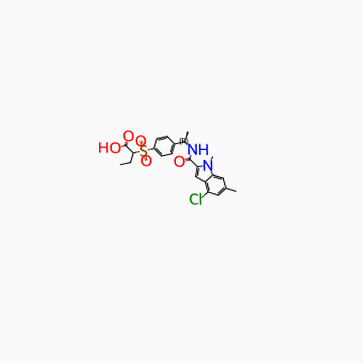 CCC(C(=O)O)S(=O)(=O)c1ccc([C@@H](C)NC(=O)c2cc3c(Cl)cc(C)cc3n2C)cc1